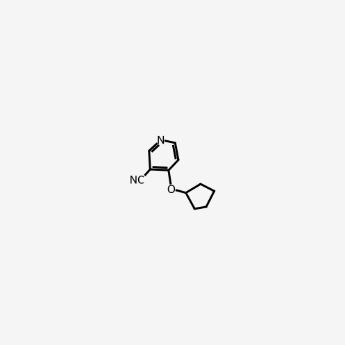 N#Cc1cnccc1OC1CCCC1